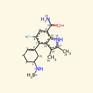 BNC1CCC=C(c2c(F)cc(C(N)=O)c3[nH]c(C)c(C)c23)C1